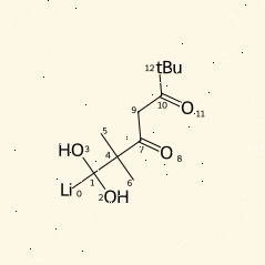 [Li][C](O)(O)C(C)(C)C(=O)CC(=O)C(C)(C)C